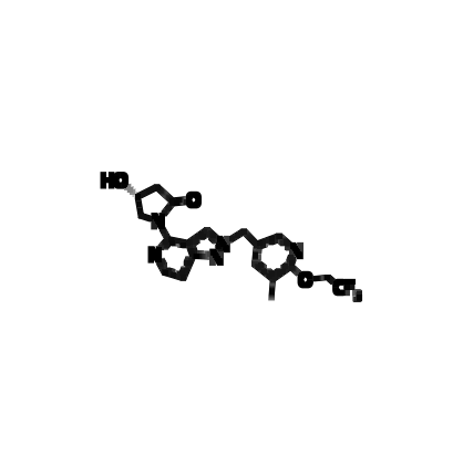 Cc1cc(Cn2cc3c(N4C[C@H](O)CC4=O)nccc3n2)cnc1OCC(F)(F)F